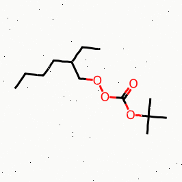 CCCCC(CC)COOC(=O)OC(C)(C)C